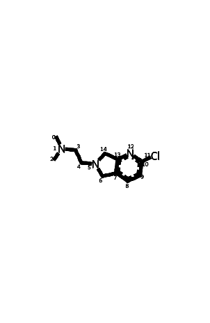 CN(C)CCN1Cc2ccc(Cl)nc2C1